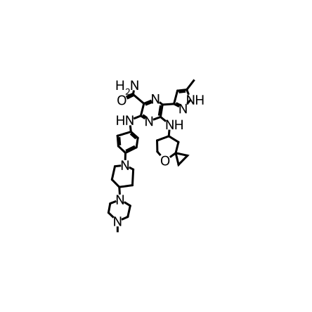 Cc1cc(-c2nc(C(N)=O)c(Nc3ccc(N4CCC(N5CCN(C)CC5)CC4)cc3)nc2NC2CCOC3(CC3)C2)n[nH]1